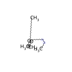 CCCCC/C=C\C/C=C\CCCCCCCCC1(CCCCCCCCCCCCCCCCCC)OC2CC(N(C)C)CC2O1